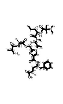 CC[C@H](C)[C@H](NC(=O)C(C)(C)N(C)C)C(=O)N(C)[C@H](C[C@@H](OC(=O)[C@H](C)NC(=O)[C@H](C)N)c1nc(C(=O)N[C@@H](Cc2ccccc2)C[C@H](C)C(=O)O)cs1)C(C)C